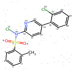 Cc1ccccc1S(=O)(=O)N(Cl)c1ccc(-c2ccccc2Cl)cn1